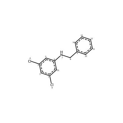 Clc1cc(Cl)cc(NCc2ccccc2)c1